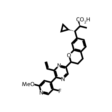 C=Cc1nc(C2CCc3ccc([C@H](C4CC4)[C@H](C)C(=O)O)cc3O2)cnc1-c1cc(OC)ncc1F